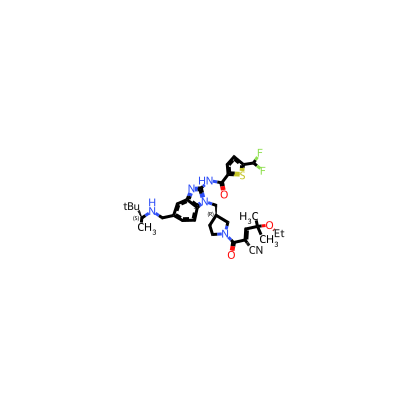 CCOC(C)(C)C=C(C#N)C(=O)N1CC[C@@H](Cn2c(NC(=O)c3ccc(C(F)F)s3)nc3cc(CN[C@@H](C)C(C)(C)C)ccc32)C1